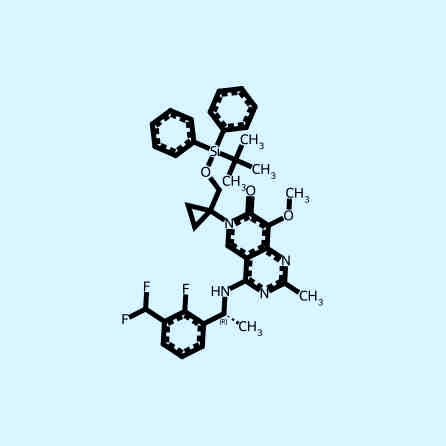 COc1c(=O)n(C2(CO[Si](c3ccccc3)(c3ccccc3)C(C)(C)C)CC2)cc2c(N[C@H](C)c3cccc(C(F)F)c3F)nc(C)nc12